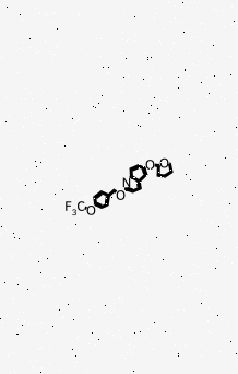 FC(F)(F)Oc1ccc(COc2ccc3cc(OC4CCCCO4)ccc3n2)cc1